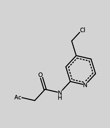 CC(=O)CC(=O)Nc1cc(CCl)ccn1